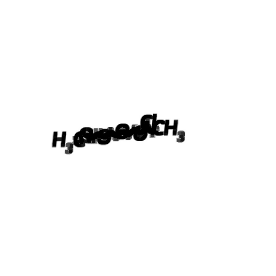 CCC(Cl)OCCOCCOCCOC